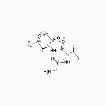 CC(C)[C@H](NC(=O)CN)C(=O)N[C@@H](CC(=O)O)C(=O)O